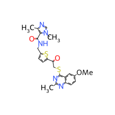 COc1ccc2nc(C)nc(SCC(=O)c3ccc(CNC(=O)c4c(C)ncn4C)s3)c2c1